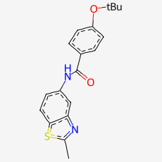 Cc1nc2cc(NC(=O)c3ccc(OC(C)(C)C)cc3)ccc2s1